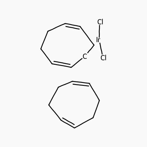 C1=CCCC=CCC1.C1=CCCC=CCC1.[Cl][Ir][Cl]